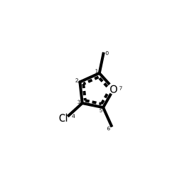 Cc1cc(Cl)c(C)o1